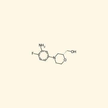 Nc1cc(N2CCO[C@@H](CO)C2)ccc1F